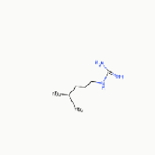 CCCCC(CCCC)CCCNC(=N)N